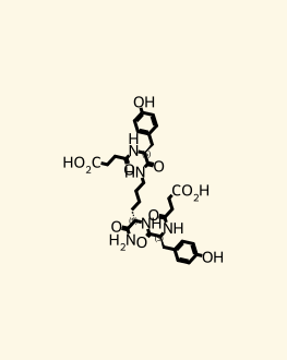 NC(=O)[C@H](CCCCNC(=O)[C@H](Cc1ccc(O)cc1)NC(=O)CCC(=O)O)NC(=O)[C@H](Cc1ccc(O)cc1)NC(=O)CCC(=O)O